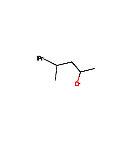 CC([O])CC(C)C(C)C